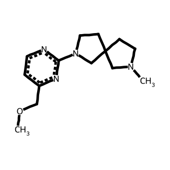 COCc1ccnc(N2CCC3(CCN(C)C3)C2)n1